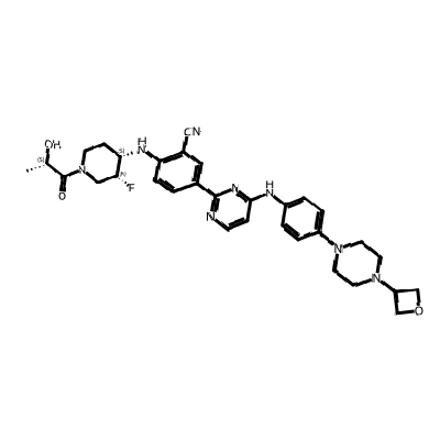 C[C@H](O)C(=O)N1CC[C@H](Nc2ccc(-c3nccc(Nc4ccc(N5CCN(C6COC6)CC5)cc4)n3)cc2C#N)[C@H](F)C1